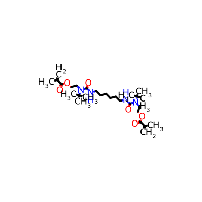 C=C(C)C(=O)OCCN(C(=O)NCCCCCCNC(=O)N(CCOC(=O)C(=C)C)C(C)(C)C)C(C)(C)C